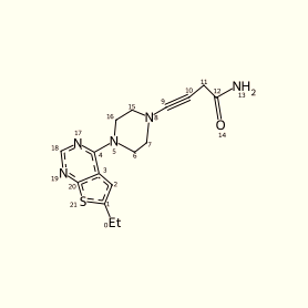 CCc1cc2c(N3CCN(C#CCC(N)=O)CC3)ncnc2s1